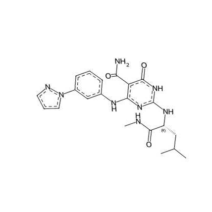 CNC(=O)[C@@H](CC(C)C)Nc1nc(Nc2cccc(-n3cccn3)c2)c(C(N)=O)c(=O)[nH]1